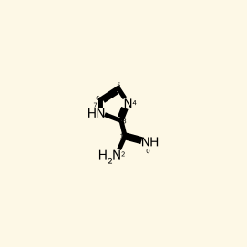 N=C(N)c1n[c]c[nH]1